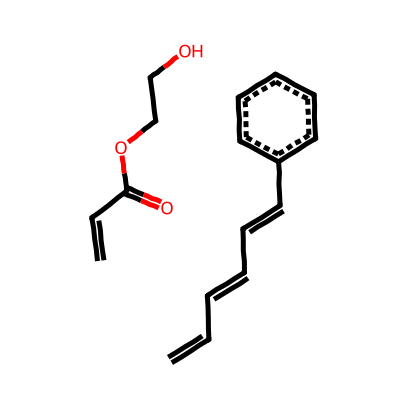 C=CC(=O)OCCO.C=CC=CC=Cc1ccccc1